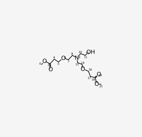 COC(=O)CCOCCN(CCO)CCOCCC(=O)OC